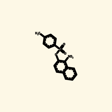 Cc1ccc(S(=O)(=O)Oc2ccc3ccccc3c2[N+](=O)[O-])cc1